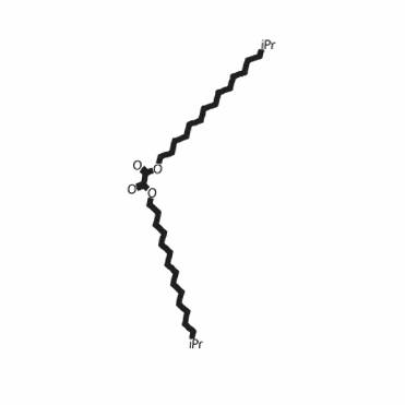 CC(C)CCCCCCCCCCCCCCOC(=O)C(=O)OCCCCCCCCCCCCCCC(C)C